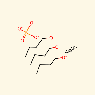 CCCC[O-].CCCC[O-].CCCC[O-].O=P([O-])([O-])[O-].[Al+3].[Al+3]